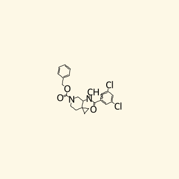 CN(C(=O)c1cc(Cl)cc(Cl)c1)C1CN(C(=O)OCc2ccccc2)CCC12CC2